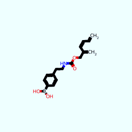 C=C/C=C\C(=C)COC(=O)NCCc1ccc(B(O)O)cc1